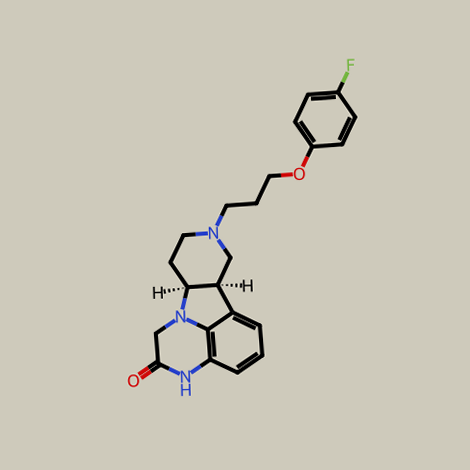 O=C1CN2c3c(cccc3[C@@H]3CN(CCCOc4ccc(F)cc4)CC[C@@H]32)N1